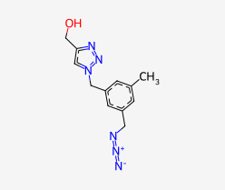 Cc1cc(CN=[N+]=[N-])cc(Cn2cc(CO)nn2)c1